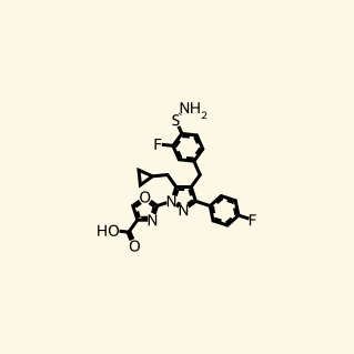 NSc1ccc(Cc2c(-c3ccc(F)cc3)nn(-c3nc(C(=O)O)co3)c2CC2CC2)cc1F